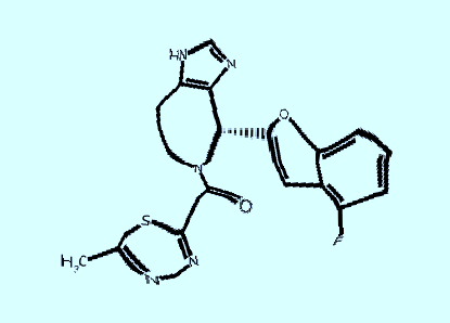 Cc1nnc(C(=O)N2CCc3[nH]cnc3[C@@H]2c2cc3c(F)cccc3o2)s1